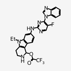 CCn1c2c(c3ccc(Nc4ncc(F)c(-n5cnc6ccccc65)n4)cc31)C(OC(=O)C(F)(F)F)NCC2